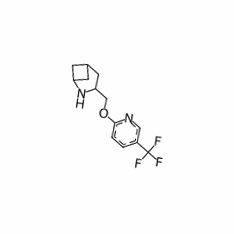 FC(F)(F)c1ccc(OCC2CC3CC(C3)N2)nc1